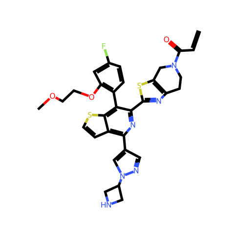 C=CC(=O)N1CCc2nc(-c3nc(-c4cnn(C5CNC5)c4)c4ccsc4c3-c3ccc(F)cc3OCCOC)sc2C1